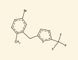 Cc1ccc(Br)cc1Cc1ccc(C(F)(F)F)s1